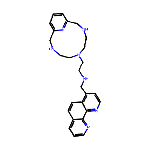 c1cc2nc(c1)CNCCN(CCNCc1ccnc3c1ccc1cccnc13)CCNC2